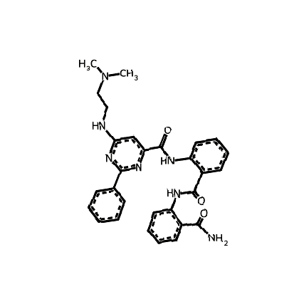 CN(C)CCNc1cc(C(=O)Nc2ccccc2C(=O)Nc2ccccc2C(N)=O)nc(-c2ccccc2)n1